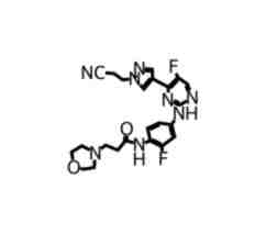 N#CCCn1cc(-c2nc(Nc3ccc(NC(=O)CCN4CCOCC4)c(F)c3)ncc2F)cn1